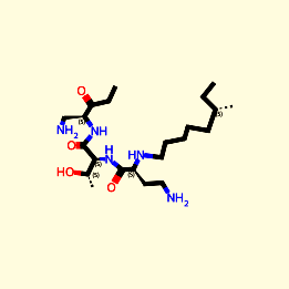 CCC(=O)[C@H](CN)NC(=O)[C@@H](NC(=O)[C@H](CCN)NCCCCC[C@@H](C)CC)[C@H](C)O